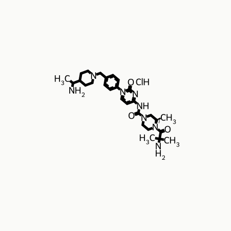 CC(N)C1CCN(Cc2ccc(-n3ccc(NC(=O)N4CCN(C(=O)C(C)(C)N)[C@H](C)C4)nc3=O)cc2)CC1.Cl